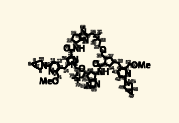 COCc1nc(N2CC3CC3C2)ccc1Cc1cc(C(=O)N[C@@H]2CCc3c2nc(C[Si](C)(C)CCOCC2CC(Cc4ccc(N5CC6CC6C5)nc4COC)CC2C(=O)N[C@@H]2CCc4c2ncn4C)n3C)nn1COCC[Si](C)(C)C